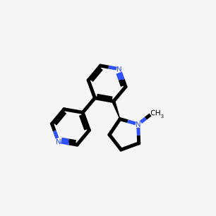 CN1CCC[C@H]1c1cnccc1-c1ccncc1